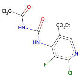 CCOC(=O)c1cnc(Cl)c(F)c1NC(=O)NC(=O)C(Cl)(Cl)Cl